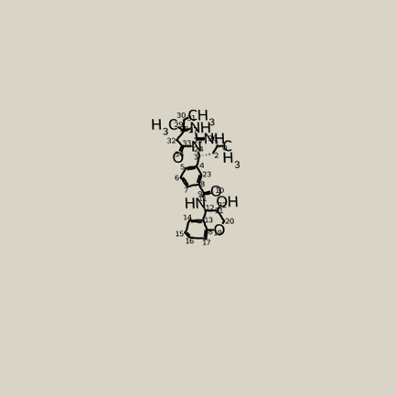 CCC[C@H](c1cccc(C(=O)NC2c3ccccc3OCC2O)c1)N1C(=N)NC(C)(CC)CC1=O